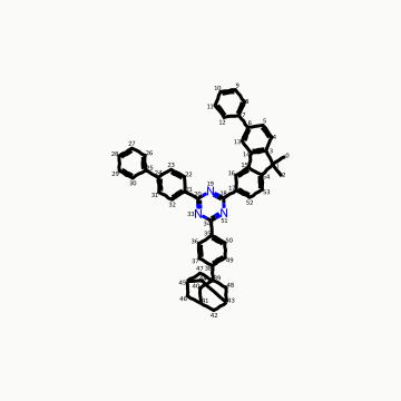 CC1(C)c2ccc(-c3ccccc3)cc2-c2cc(-c3nc(-c4ccc(-c5ccccc5)cc4)nc(-c4ccc(C56CC7CC(CC(C7)C5)C6)cc4)n3)ccc21